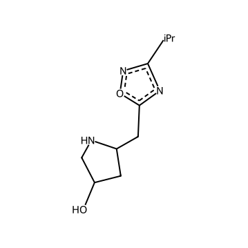 CC(C)c1noc(CC2CC(O)CN2)n1